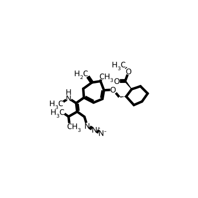 C=C1CC(/C(NC)=C(\CN=[N+]=[N-])C(C)C)=CC=C(OC[C@H]2CCCC[C@@H]2C(=O)OC)C1C